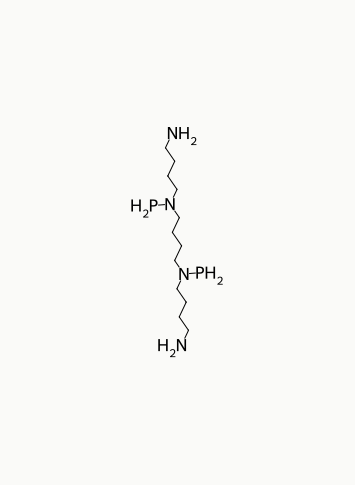 NCCCCN(P)CCCCN(P)CCCCN